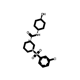 O=C(N[C@H]1CC[C@H](O)CC1)[C@H]1CCCN(S(=O)(=O)c2cccc(Cl)c2)C1